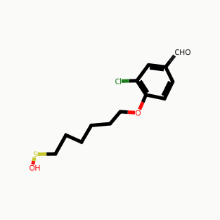 O=Cc1ccc(OCCCCCCSO)c(Cl)c1